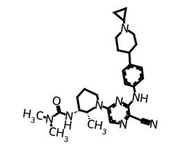 C[C@@H]1[C@H](NC(=O)N(C)C)CCCN1c1cnc(C#N)c(Nc2ccc(C3CCN(C4CC4)CC3)cc2)n1